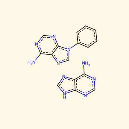 Nc1ncnc2[nH]cnc12.Nc1ncnc2c1ncn2-c1ccccc1